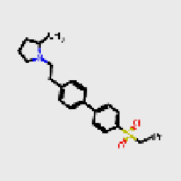 CC(C)CS(=O)(=O)c1ccc(-c2ccc(CCN3CCCC3C)cc2)cc1